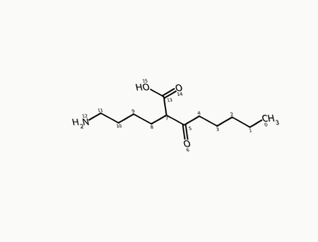 CCCCCC(=O)C(CCCCN)C(=O)O